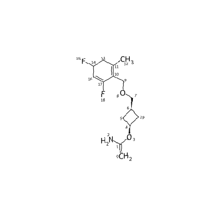 C=C(N)O[C@H]1C[C@@H](COCC2=C(C)CC(F)C=C2F)C1